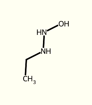 CCNNO